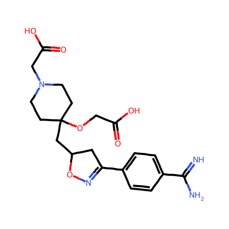 N=C(N)c1ccc(C2=NOC(CC3(OCC(=O)O)CCN(CC(=O)O)CC3)C2)cc1